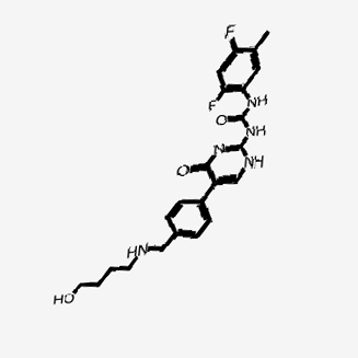 Cc1cc(NC(=O)Nc2nc(=O)c(-c3ccc(CNCCCCO)cc3)c[nH]2)c(F)cc1F